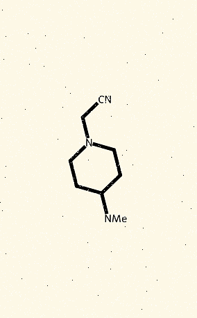 CNC1CCN(CC#N)CC1